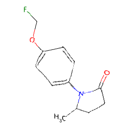 CC1CCC(=O)N1c1ccc(OCF)cc1